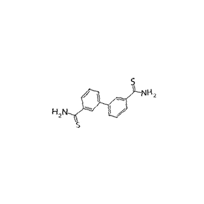 NC(=S)c1cccc(-c2cccc(C(N)=S)c2)c1